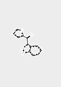 O=C(c1cccs1)c1n[nH]c2ccccc12